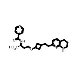 O=C(N[C@@H](CCOC1CC(CCc2ccc3c(n2)NCCC3)C1)C(=O)O)c1ccncc1